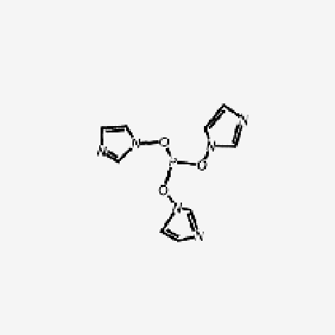 c1cn(OP(On2ccnc2)On2ccnc2)cn1